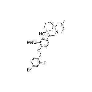 COc1cc(C(CN2CCN(C)CC2)C2(O)CCCCC2)ccc1OCc1ccc(Br)cc1F